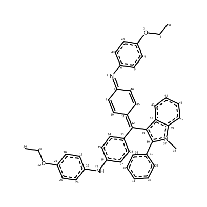 CCOc1ccc(N=C2C=CC(=C(c3ccc(Nc4ccc(OCC)cc4)cc3)c3c(-c4ccccc4)n(C)c4ccccc34)C=C2)cc1